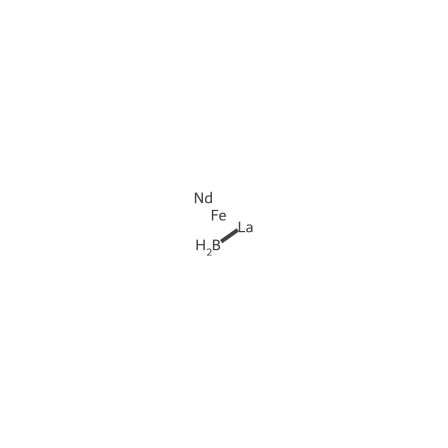 [BH2][La].[Fe].[Nd]